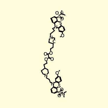 COc1ccc2c(c1)N(CCCN1CCC(CCOC(=O)C(=O)OCCC3CCN(CCCN4c5cc(OC)ccc5Sc5c4cccc5S(=O)(=O)N(C)C)CC3)CC1)c1cccc(S(=O)(=O)N(C)C)c1S2